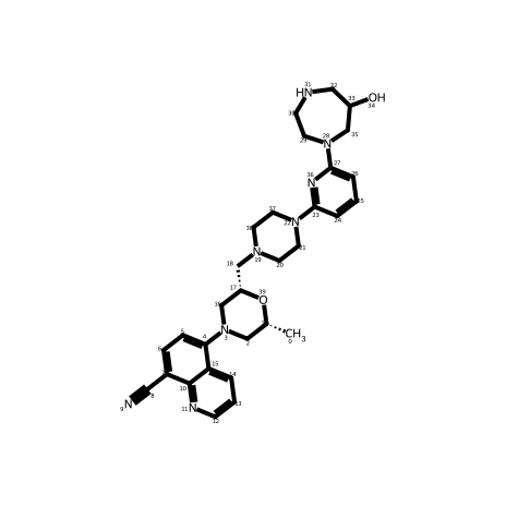 C[C@@H]1CN(c2ccc(C#N)c3ncccc23)C[C@H](CN2CCN(c3cccc(N4CCNCC(O)C4)n3)CC2)O1